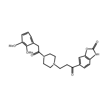 COc1cccc(CC(=O)N2CCN(CCC(=O)c3ccc4[nH]c(=O)oc4c3)CC2)c1OC